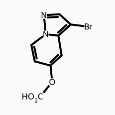 O=C(O)Oc1ccn2ncc(Br)c2c1